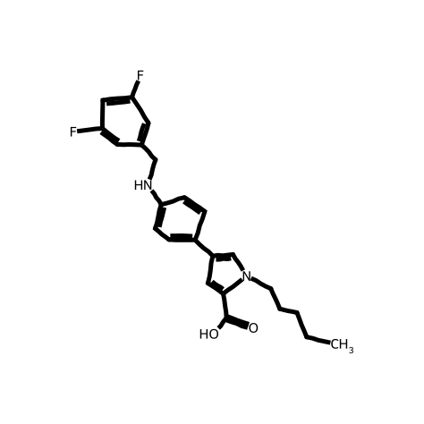 CCCCCn1cc(-c2ccc(NCc3cc(F)cc(F)c3)cc2)cc1C(=O)O